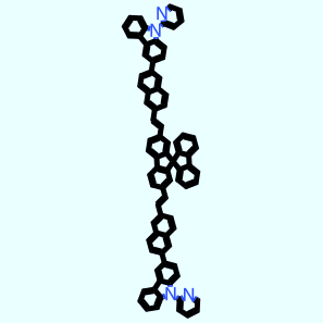 C(=C\c1ccc2cc(-c3ccc4c(c3)c3ccccc3n4-c3ccccn3)ccc2c1)/c1ccc2c(c1)C1(c3ccccc3-c3ccccc31)c1cc(/C=C/c3ccc4cc(-c5ccc6c(c5)c5ccccc5n6-c5ccccn5)ccc4c3)ccc1-2